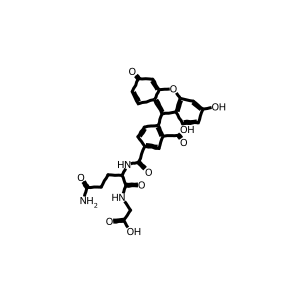 NC(=O)CCC(NC(=O)c1ccc(-c2c3ccc(=O)cc-3oc3cc(O)ccc23)c(C(=O)O)c1)C(=O)NCC(=O)O